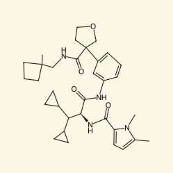 Cc1ccc(C(=O)N[C@H](C(=O)Nc2cccc(C3(C(=O)NCC4(C)CCC4)CCOC3)c2)C(C2CC2)C2CC2)n1C